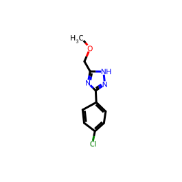 COCc1nc(-c2ccc(Cl)cc2)n[nH]1